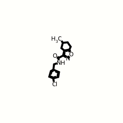 CC1CCc2onc(C(=O)NCc3ccc(Cl)cc3)c2C1